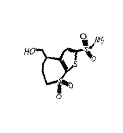 NS(=O)(=O)c1cc2c(s1)S(=O)(=O)CCC2CO